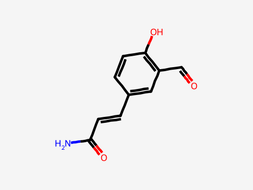 NC(=O)C=Cc1ccc(O)c(C=O)c1